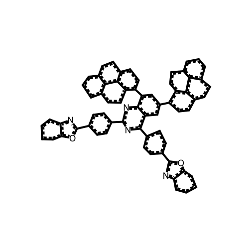 c1cc2ccc3ccc(-c4cc(-c5ccc6ccc7cccc8ccc5c6c78)c5nc(-c6ccc(-c7nc8ccccc8o7)cc6)nc(-c6ccc(-c7nc8ccccc8o7)cc6)c5c4)c4ccc(c1)c2c34